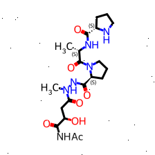 CC(=O)NC(=O)C(O)CC(=O)N(C)NC(=O)[C@@H]1CCCN1C(=O)[C@H](C)NC(=O)[C@@H]1CCCN1